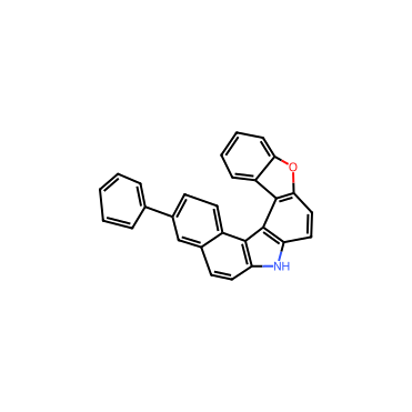 c1ccc(-c2ccc3c(ccc4[nH]c5ccc6oc7ccccc7c6c5c43)c2)cc1